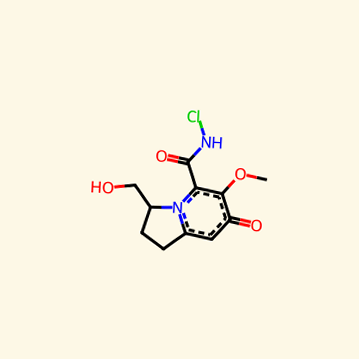 COc1c(C(=O)NCl)n2c(cc1=O)CCC2CO